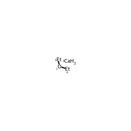 CCOCC.[CaH2]